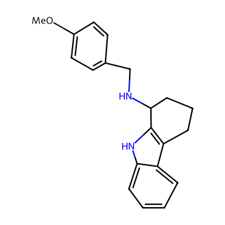 COc1ccc(CNC2CCCc3c2[nH]c2ccccc32)cc1